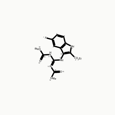 CCOC(=O)c1[nH]c2ccc(F)cc2c1N/C(=N\C(=O)OC)NC(=O)OC